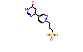 O=c1cc(-c2cc[n+](CCCS(=O)(=O)[O-])nc2)nc[nH]1